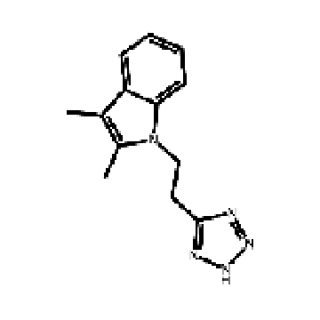 Cc1c(C)n(CCc2nn[nH]n2)c2ccccc12